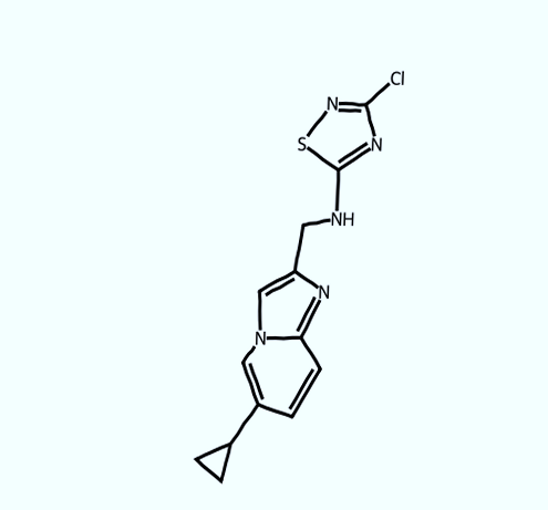 Clc1nsc(NCc2cn3cc(C4CC4)ccc3n2)n1